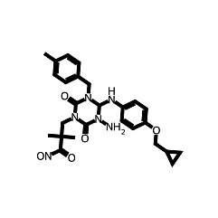 Cc1ccc(CN2C(=O)N(CC(C)(C)C(=O)N=O)C(=O)N(N)C2Nc2ccc(OCC3CC3)cc2)cc1